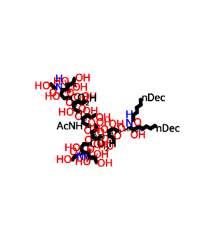 CCCCCCCCCCCCC/C=C/[C@@H](O)[C@H](CO[C@@H]1OC(CO)[C@@H](O[C@@H]2OC(CO)[C@H](O[C@@H]3OC(CO)[C@H](O)[C@H](O[C@@H]4OC(CO)[C@H](O)[C@H](O[C@]5(C(=O)O)CC(O)[C@@H](NC(=O)CO)C([C@H](O)[C@H](O)CO)O5)C4O)C3NC(C)=O)[C@H](O[C@]3(C(=O)O)CC(O)[C@@H](NC(=O)CO)C([C@H](O)[C@H](O)CO)O3)C2O)[C@H](O)C1O)NC(=O)CCCCCCCCCCCCCCC